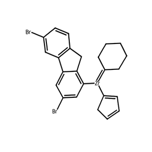 Brc1ccc2c(c1)-c1cc(Br)c[c]([Zr]([C]3=CC=CC3)=[C]3CCCCC3)c1C2